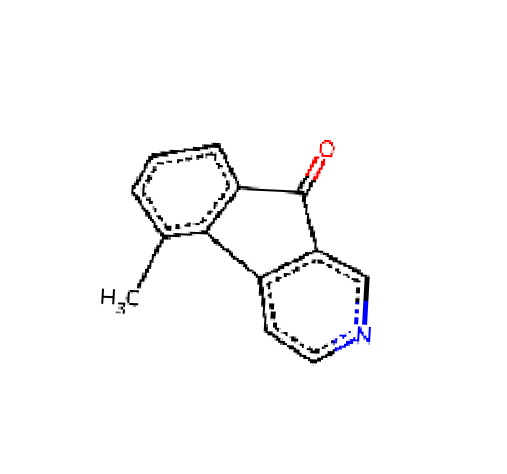 Cc1cccc2c1-c1ccncc1C2=O